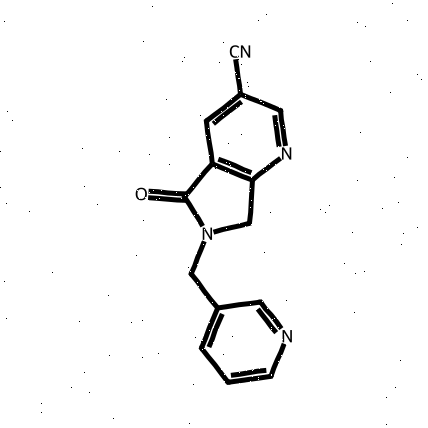 N#Cc1cnc2c(c1)C(=O)N(Cc1cccnc1)C2